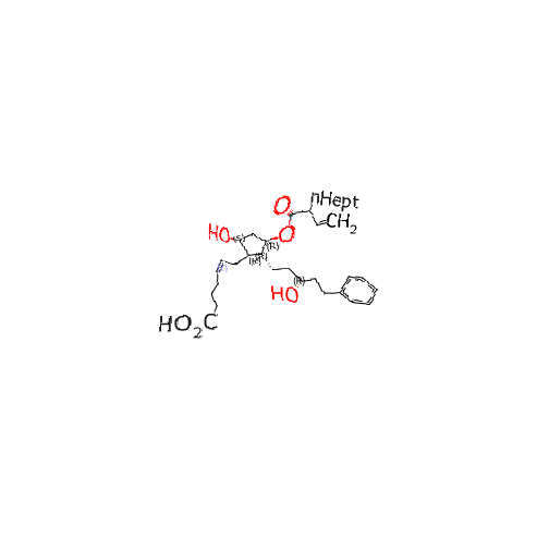 C=CC(CCCCCCC)C(=O)O[C@@H]1C[C@H](O)[C@H](C/C=C\CCCC(=O)O)[C@H]1CC[C@@H](O)CCc1ccccc1